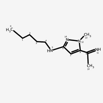 CCCCCNc1cc(C(C)=N)n(C)n1